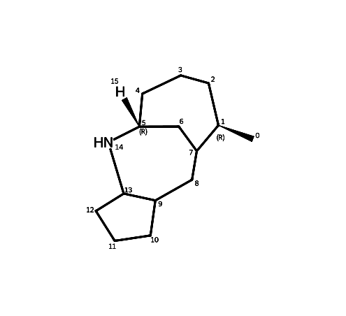 C[C@@H]1CCC[C@@H]2CC1CC1CCCC1N2